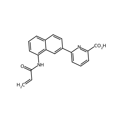 C=CC(=O)Nc1cccc2ccc(-c3cccc(C(=O)O)n3)cc12